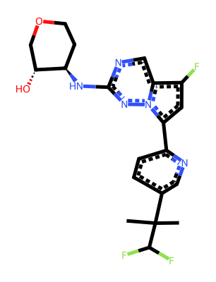 CC(C)(c1ccc(-c2cc(F)c3cnc(N[C@@H]4CCOC[C@H]4O)nn23)nc1)C(F)F